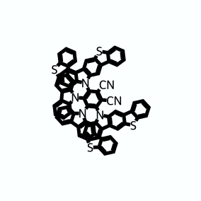 N#Cc1c(C#N)c(-n2c3ccccc3c3cc4sc5ccccc5c4cc32)c(-n2c3ccccc3c3cc4sc5ccccc5c4cc32)c(-n2c3ccccc3c3cc4sc5ccccc5c4cc32)c1-n1c2ccccc2c2cc3sc4ccccc4c3cc21